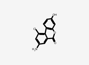 Nc1cc(Cl)c2c(c1)c(=O)oc1cc(O)ccc12